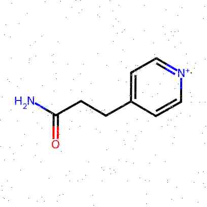 NC(=O)CCC1=CC=[N+]C=C1